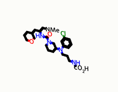 CNCC(CC1CCCOC1)NC(=O)N1CCCC(N(CCCNC(=O)O)c2cccc(Cl)c2)C1